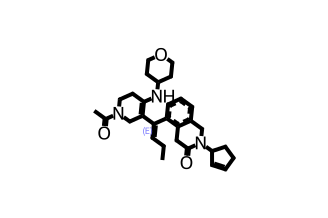 CC/C=C(/C1=C(NC2CCOCC2)CCN(C(C)=O)C1)c1cccc2c1CC(=O)N(C1C=CCC1)C2